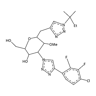 CCC(C)(C)n1cc(CC2OC(CO)C(O)C(n3cc(-c4ccc(Cl)c(F)c4F)nn3)C2OC)nn1